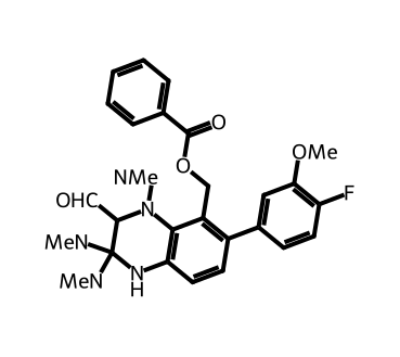 CNN1c2c(ccc(-c3ccc(F)c(OC)c3)c2COC(=O)c2ccccc2)NC(NC)(NC)C1C=O